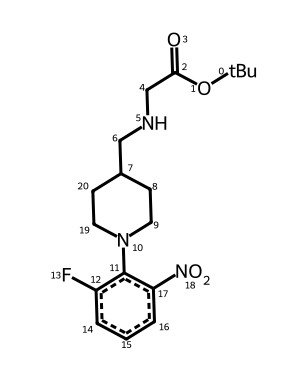 CC(C)(C)OC(=O)CNCC1CCN(c2c(F)cccc2[N+](=O)[O-])CC1